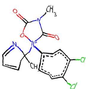 CN1C(=O)O[N+](c2ccc(Cl)c(Cl)c2)(C2(C)C=CC=N2)C1=O